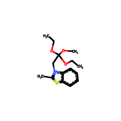 CCOC(C[n+]1c(C)sc2ccccc21)(OC)OCC